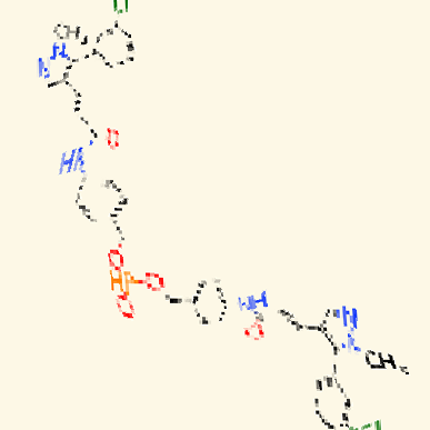 Cn1ncc(/C=C/C(=O)Nc2ccc(CO[PH](=O)OCc3ccc(NC(=O)/C=C/c4cnn(C)c4-c4cccc(Cl)c4)cc3)cc2)c1-c1cccc(Cl)c1